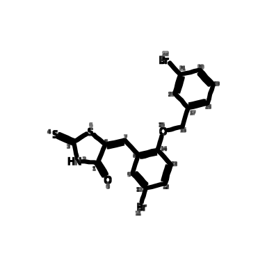 O=C1NC(=S)SC1=Cc1cc(Br)ccc1OCc1cccc(Br)c1